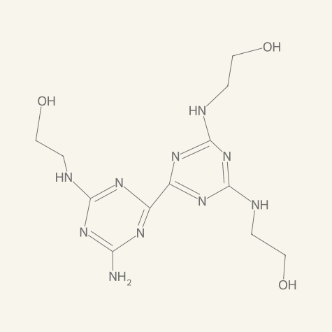 Nc1nc(NCCO)nc(-c2nc(NCCO)nc(NCCO)n2)n1